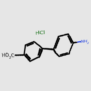 Cl.Nc1ccc(-c2ccc(C(=O)O)cc2)cc1